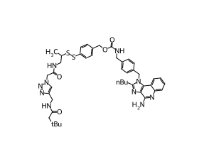 CCCCc1nc2c(N)nc3ccccc3c2n1Cc1ccc(CNC(=O)OCc2ccc(SSC(C)CNC(=O)Cn3cc(CNC(=O)CC(C)(C)C)nn3)cc2)cc1